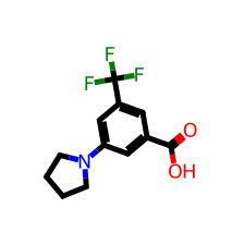 O=C(O)c1cc(N2CCCC2)cc(C(F)(F)F)c1